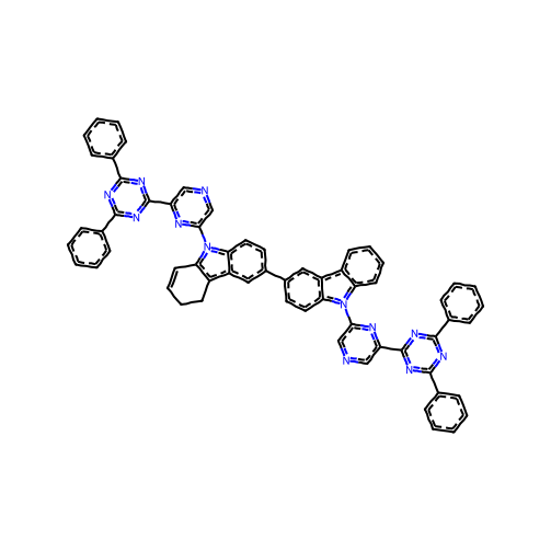 C1=Cc2c(c3cc(-c4ccc5c(c4)c4ccccc4n5-c4cncc(-c5nc(-c6ccccc6)nc(-c6ccccc6)n5)n4)ccc3n2-c2cncc(-c3nc(-c4ccccc4)nc(-c4ccccc4)n3)n2)CC1